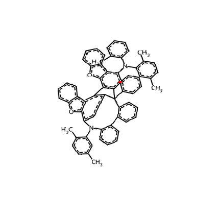 Cc1ccc(C)c(N2c3ccccc3-c3ccccc3C3(c4ccccc4)c4cc(N(c5ccccc5C)c5cc(C)ccc5C)c5c(oc6ccccc65)c4-c4c3cc2c2oc3ccccc3c42)c1